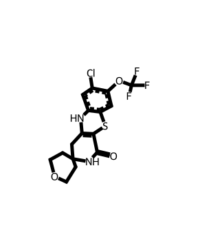 O=C1NC2(CCOCC2)CC2=C1Sc1cc(OC(F)(F)F)c(Cl)cc1N2